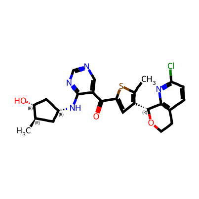 Cc1sc(C(=O)c2cncnc2N[C@@H]2C[C@@H](C)[C@H](O)C2)cc1[C@H]1OCCc2ccc(Cl)nc21